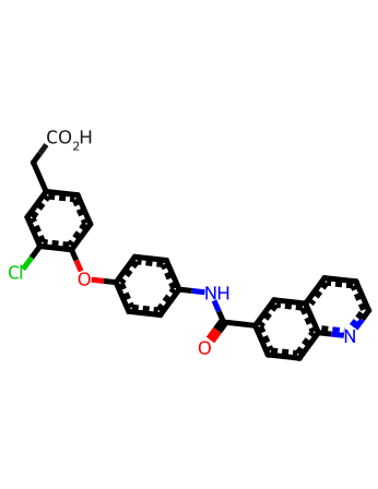 O=C(O)Cc1ccc(Oc2ccc(NC(=O)c3ccc4ncccc4c3)cc2)c(Cl)c1